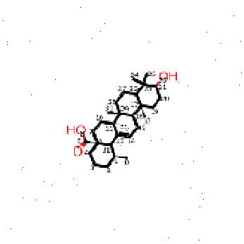 C[C@H]1CCC[C@]2(C(=O)O)CC[C@]3(C)C(=CCC4[C@@]5(C)CC[C@H](O)C(C)(C)C5CC[C@]43C)C12